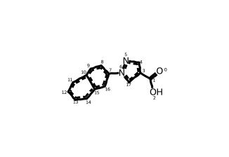 O=C(O)c1cnn(-c2ccc3ccccc3c2)c1